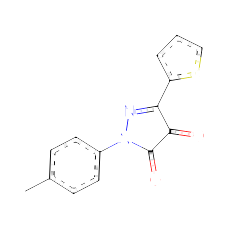 Cc1ccc(N2N=C(c3cccs3)C(=O)C2=O)cc1